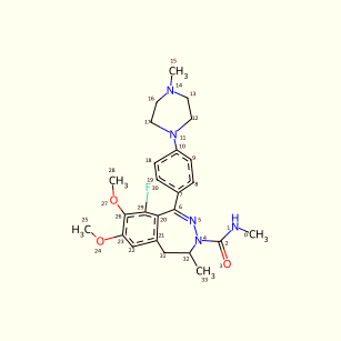 CNC(=O)N1N=C(c2ccc(N3CCN(C)CC3)cc2)c2c(cc(OC)c(OC)c2F)CC1C